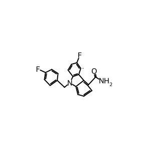 NC(=O)c1cccc2c1c1[c]c(F)ccc1n2Cc1ccc(F)cc1